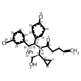 C=CCCC(=O)N([C@H](CO)C1CC1)[C@H](c1ccc(Cl)cc1)[C@H](CCC)c1cccc(Cl)c1